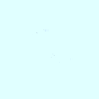 CCC(C)(C)C(=O)O.NCCCC[C@H](N)C(=O)O